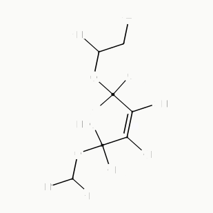 [2H]CC([2H])OC(C)(C)/C(C)=C(/C)C(C)(C)OC([2H])[2H]